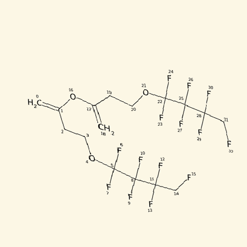 C=C(CCOC(F)(F)C(F)(F)C(F)(F)CF)OC(=C)CCOC(F)(F)C(F)(F)C(F)(F)CF